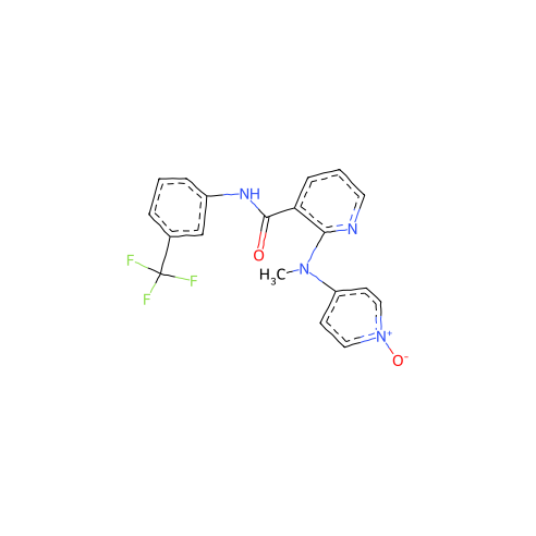 CN(c1cc[n+]([O-])cc1)c1ncccc1C(=O)Nc1cccc(C(F)(F)F)c1